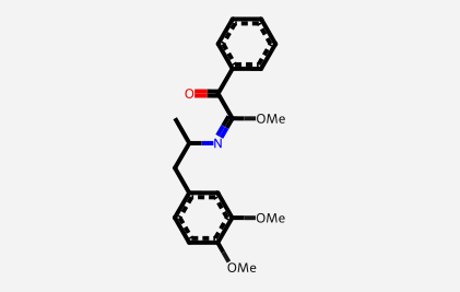 COC(=NC(C)Cc1ccc(OC)c(OC)c1)C(=O)c1ccccc1